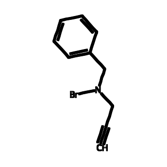 C#CCN(Br)Cc1ccccc1